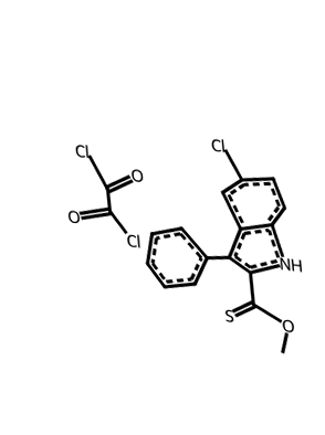 COC(=S)c1[nH]c2ccc(Cl)cc2c1-c1ccccc1.O=C(Cl)C(=O)Cl